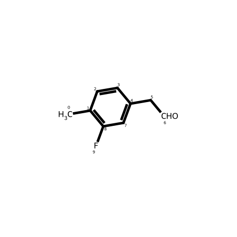 Cc1ccc(CC=O)cc1F